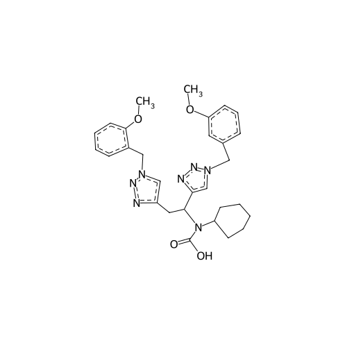 COc1cccc(Cn2cc(C(Cc3cn(Cc4ccccc4OC)nn3)N(C(=O)O)C3CCCCC3)nn2)c1